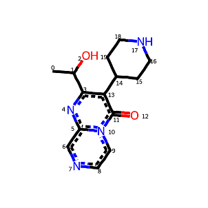 CC(O)c1nc2cnccn2c(=O)c1C1CCNCC1